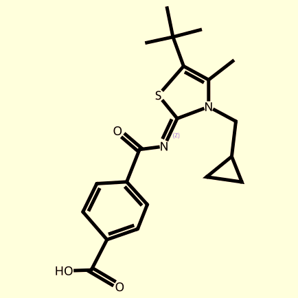 Cc1c(C(C)(C)C)s/c(=N\C(=O)c2ccc(C(=O)O)cc2)n1CC1CC1